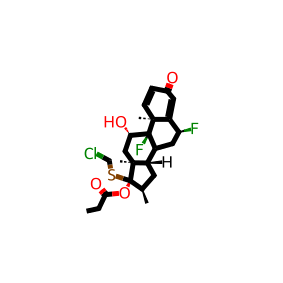 CCC(=O)O[C@]1(SCCl)[C@H](C)C[C@H]2C3C[C@H](F)C4=CC(=O)C=C[C@]4(C)[C@@]3(F)[C@@H](O)C[C@@]21C